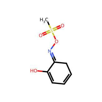 CS(=O)(=O)ON=C1CC=CC=C1O